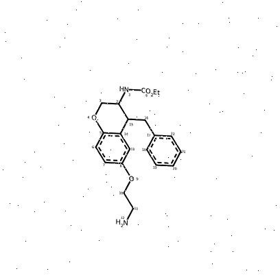 CCOC(=O)NC1COc2ccc(OCCN)cc2C1Cc1ccccc1